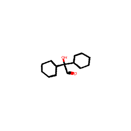 O=CC(O)(C1CCCCC1)C1CCCCC1